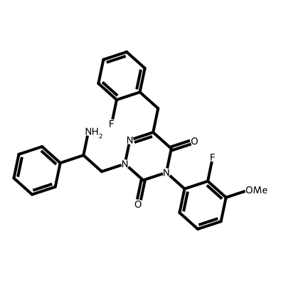 COc1cccc(-n2c(=O)c(Cc3ccccc3F)nn(CC(N)c3ccccc3)c2=O)c1F